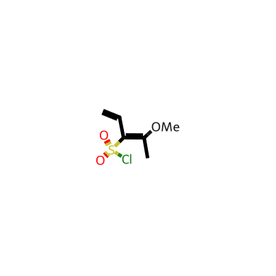 C=C/C(=C(/C)OC)S(=O)(=O)Cl